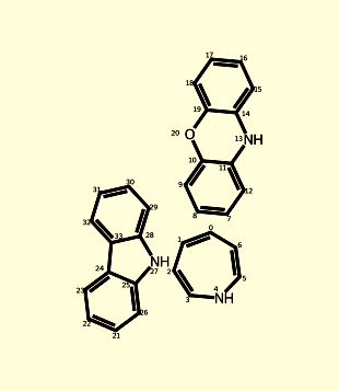 C1=CC=CNC=C1.c1ccc2c(c1)Nc1ccccc1O2.c1ccc2c(c1)[nH]c1ccccc12